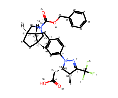 C[C@@H]1C(C(F)(F)F)=NN(c2ccc(C[C@@H]3[C@@H]4CC[C@H]3CN(C(=O)OCc3ccccc3)C4)cc2)[C@H]1CC(=O)O